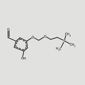 C[Si](C)(C)CCOCOc1cc(O)cc(C=O)c1